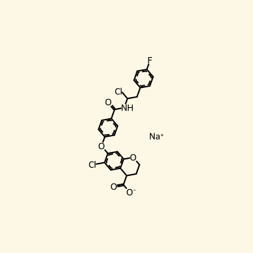 O=C(NC(Cl)Cc1ccc(F)cc1)c1ccc(Oc2cc3c(cc2Cl)C(C(=O)[O-])CCO3)cc1.[Na+]